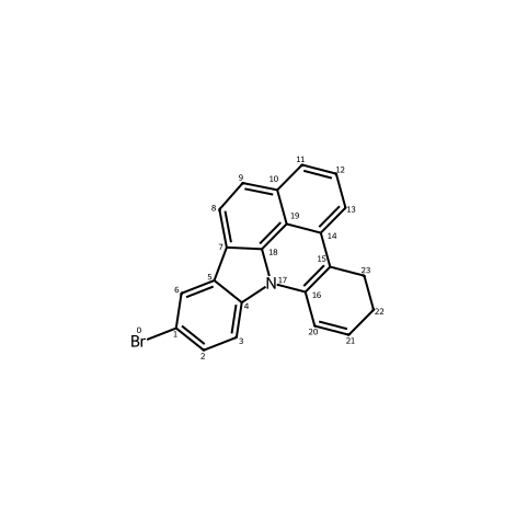 Brc1ccc2c(c1)c1ccc3cccc4c5c(n2c1c34)C=CCC5